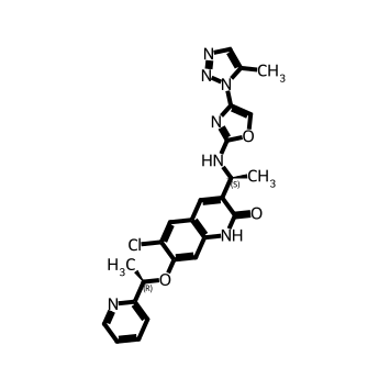 Cc1cnnn1-c1coc(N[C@@H](C)c2cc3cc(Cl)c(O[C@H](C)c4ccccn4)cc3[nH]c2=O)n1